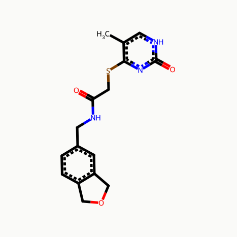 Cc1c[nH]c(=O)nc1SCC(=O)NCc1ccc2c(c1)COC2